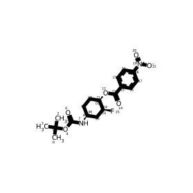 CC(C)(C)OC(=O)N[C@@H]1CC[C@H](OC(=O)c2ccc([N+](=O)[O-])cc2)[C@@H](F)C1